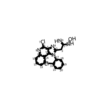 N=C(Cc1nc2c(Cl)nc3ccccc3c2n1-c1ccccc1Cl)NO